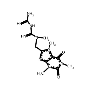 CN(Cc1nc2c(c(=O)n(C)c(=O)n2C)n1C)C(=N)NC(=N)N